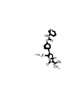 C[C@@H](O)[C@H]1C(=O)N2C(C(=O)O)=C(c3ccc(OC(=O)Nc4cccnc4)cc3)C[C@H]12